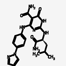 CC(C)C[C@@H](Nc1nc(Nc2ccc(-n3cccn3)cc2)c(C(N)=O)c(=O)[nH]1)C(N)=O